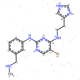 CNCc1cccc(Nc2ncc(Br)c(NCCc3c[nH]cn3)n2)c1